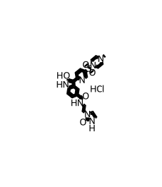 CN1CCN(S(=O)(=O)c2ccc(-c3c(O)[nH]c4ccc(C(=O)NCCN5CCNC5=O)cc34)nc2)CC1.Cl